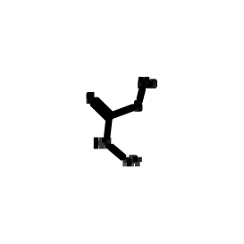 CCCNC(=S)[S][Mo]